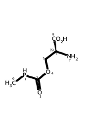 CPC(=O)OC[C@H](N)C(=O)O